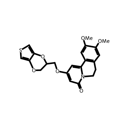 COc1cc2c(cc1OC)-c1cc(OCC3COc4cscc4O3)cc(=O)n1CC2